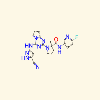 C[C@@]1(C(=O)Nc2ccc(F)nc2)CCCN1c1nc(Nc2cc(C#N)[nH]n2)n2cccc2n1